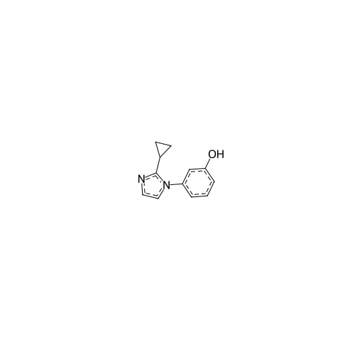 Oc1cccc(-n2ccnc2C2CC2)c1